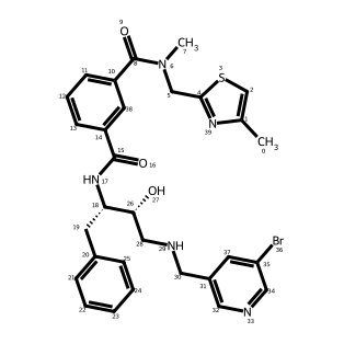 Cc1csc(CN(C)C(=O)c2cccc(C(=O)N[C@@H](Cc3ccccc3)[C@H](O)CNCc3cncc(Br)c3)c2)n1